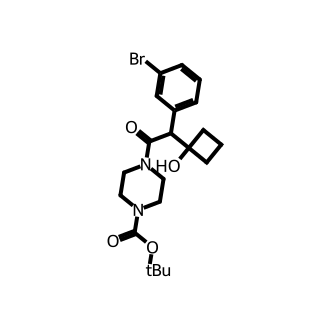 CC(C)(C)OC(=O)N1CCN(C(=O)C(c2cccc(Br)c2)C2(O)CCC2)CC1